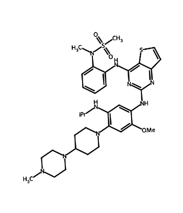 COc1cc(N2CCC(N3CCN(C)CC3)CC2)c(NC(C)C)cc1Nc1nc(Nc2ccccc2N(C)S(C)(=O)=O)c2sccc2n1